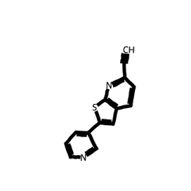 C#Cc1ccc2cc(-c3cccnc3)sc2n1